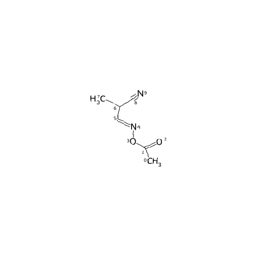 CC(=O)ON=CC(C)C#N